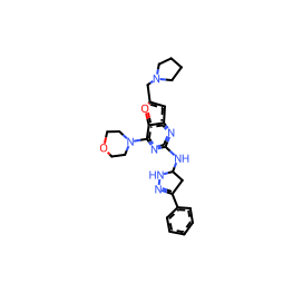 c1ccc(C2=NNC(Nc3nc(N4CCOCC4)c4oc(CN5CCCC5)cc4n3)C2)cc1